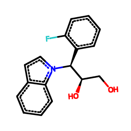 OC[C@@H](O)[C@H](c1ccccc1F)n1ccc2ccccc21